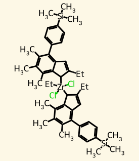 CCC1=Cc2c(-c3ccc([Si](C)(C)C)cc3)c(C)c(C)c(C)c2[CH]1[Zr]([Cl])([Cl])([CH2]C)[CH]1C(CC)=Cc2c(-c3ccc([Si](C)(C)C)cc3)c(C)c(C)c(C)c21